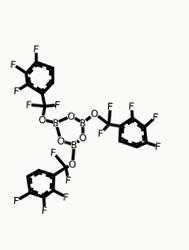 Fc1ccc(C(F)(F)OB2OB(OC(F)(F)c3ccc(F)c(F)c3F)OB(OC(F)(F)c3ccc(F)c(F)c3F)O2)c(F)c1F